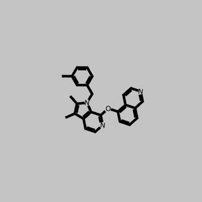 Cc1cccc(Cn2c(C)c(C)c3ccnc(Oc4cccc5cnccc45)c32)c1